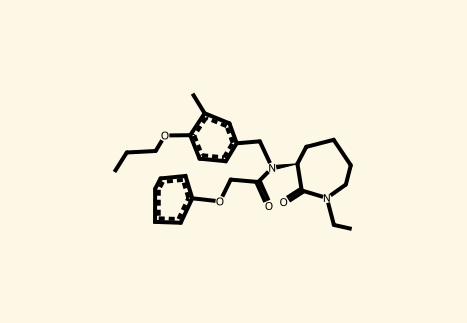 CCCOc1ccc(CN(C(=O)COc2ccccc2)[C@H]2CCCCN(CC)C2=O)cc1C